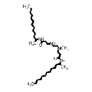 CCCCCCCCCCCC(C)NC(=O)CCNCCN(C)CCC(=O)NC(C)CCCCCCCCCCC